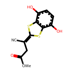 COC(=O)CC(C#N)=C1Sc2c(O)ccc(O)c2S1